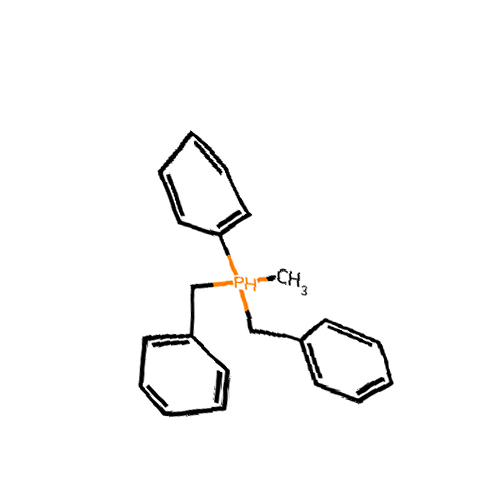 C[PH](Cc1ccccc1)(Cc1ccccc1)c1ccccc1